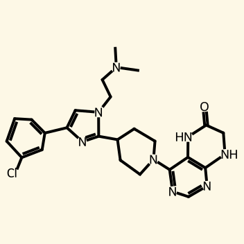 CN(C)CCn1cc(-c2cccc(Cl)c2)nc1C1CCN(c2ncnc3c2NC(=O)CN3)CC1